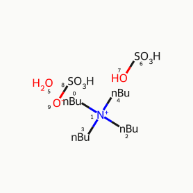 CCCC[N+](CCCC)(CCCC)CCCC.O.O=S(=O)(O)O.O=S(=O)([O-])O